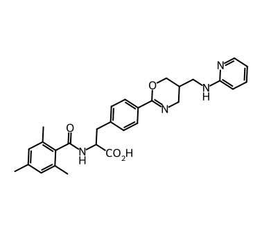 Cc1cc(C)c(C(=O)NC(Cc2ccc(C3=NCC(CNc4ccccn4)CO3)cc2)C(=O)O)c(C)c1